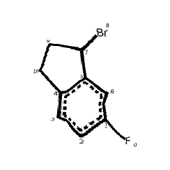 Fc1ccc2c(c1)C(Br)CC2